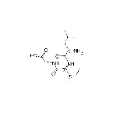 CC[C@H](C)[C@H](NC(=O)[C@@H](N)CC(C)C)C(=O)NCC(=O)O